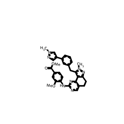 COC(=O)c1ccc(Nc2ncc3c(n2)-c2c(nn(C)c2Cc2cccc(-c4cnn(C)c4)c2)CC3)c(OC)c1